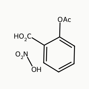 CC(=O)Oc1ccccc1C(=O)O.O=[N+]([O-])O